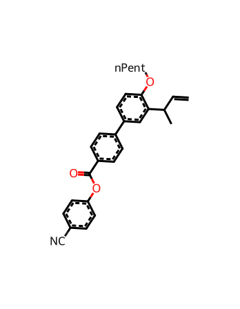 C=CC(C)c1cc(-c2ccc(C(=O)Oc3ccc(C#N)cc3)cc2)ccc1OCCCCC